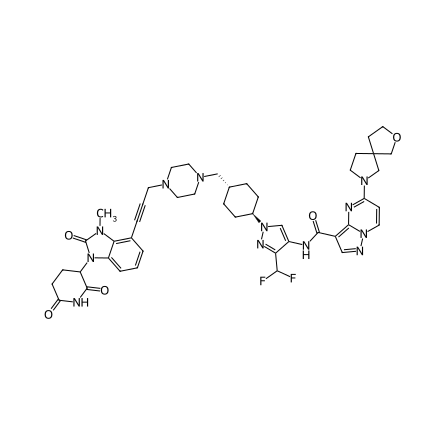 Cn1c(=O)n(C2CCC(=O)NC2=O)c2cccc(C#CCN3CCN(C[C@H]4CC[C@H](n5cc(NC(=O)c6cnn7ccc(N8CCC9(CCOC9)C8)nc67)c(C(F)F)n5)CC4)CC3)c21